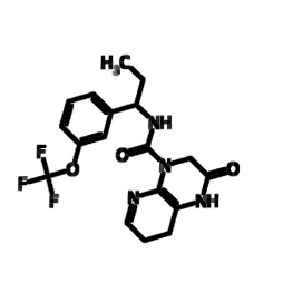 CCC(NC(=O)N1CC(=O)NC2=C1N=CCC2)c1cccc(OC(F)(F)F)c1